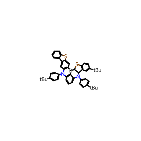 CC(C)(C)c1ccc(N2c3cc4c(cc3B3c5c2cccc5N(c2ccc(C(C)(C)C)cc2)C2c5cc(C(C)(C)C)ccc5SC32)sc2ccccc24)cc1